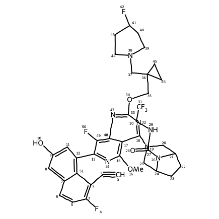 C#Cc1c(F)ccc2cc(O)cc(-c3nc(OC)c4c(N5CC6CCC(C5)N6C(=O)NCC(F)(F)F)nc(OCC5(CN6CCC(F)CC6)CC5)nc4c3F)c12